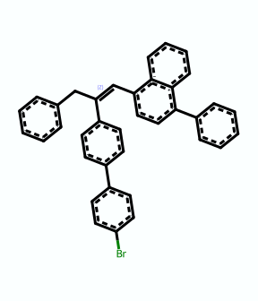 Brc1ccc(-c2ccc(/C(=C\c3ccc(-c4ccccc4)c4ccccc34)Cc3ccccc3)cc2)cc1